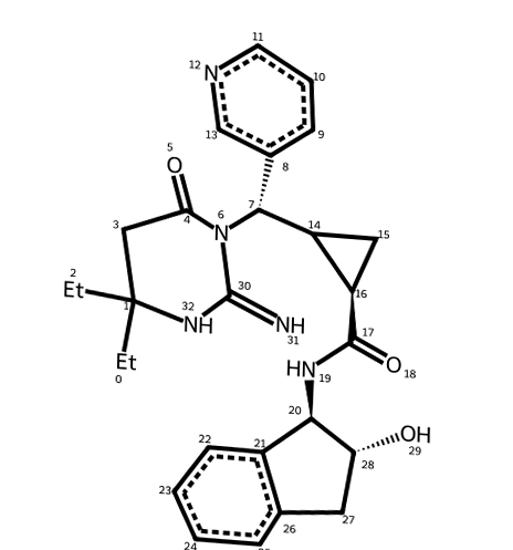 CCC1(CC)CC(=O)N([C@H](c2cccnc2)C2C[C@H]2C(=O)N[C@@H]2c3ccccc3C[C@H]2O)C(=N)N1